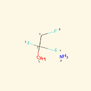 N.OC(F)(F)CF